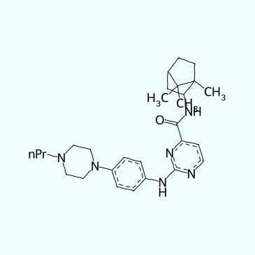 CCCN1CCN(c2ccc(Nc3nccc(C(=O)NC4CC5CCC4(C)C5(C)C)n3)cc2)CC1